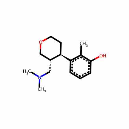 Cc1c(O)cccc1[C@@H]1CCOC[C@H]1CN(C)C